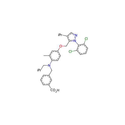 Cc1cc(OCc2c(C(C)C)cnn2-c2c(Cl)cccc2Cl)ccc1N(Cc1cccc(C(=O)O)c1)CC(C)C